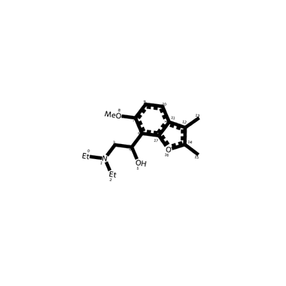 CCN(CC)CC(O)c1c(OC)ccc2c(C)c(C)oc12